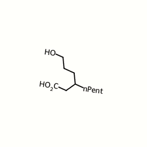 CCCCCC(CCCO)CC(=O)O